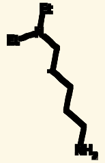 CCN(CC)C[CH]CCCN